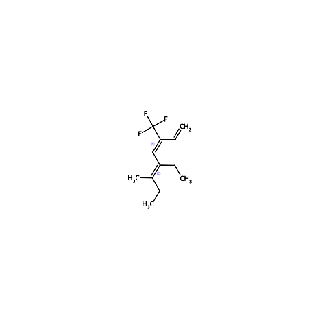 C=C/C(=C\C(CC)=C(/C)CC)C(F)(F)F